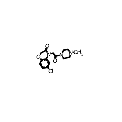 CN1CCN(C(=O)CN2C(=O)COc3ccc(Cl)cc32)CC1